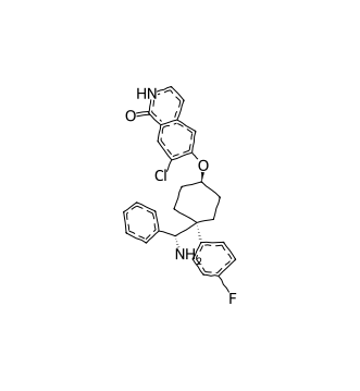 N[C@H](c1ccccc1)[C@]1(c2ccc(F)cc2)CC[C@H](Oc2cc3cc[nH]c(=O)c3cc2Cl)CC1